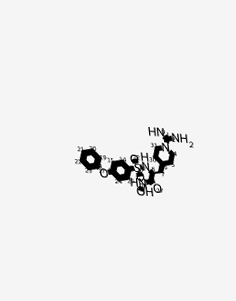 N=C(N)N1CCC(C[C@H](NS(=O)(=O)c2ccc(Oc3ccccc3)cc2)C(=O)NO)CC1